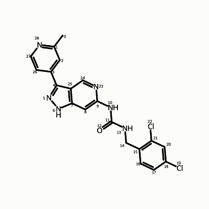 Cc1cc(-c2n[nH]c3cc(NC(=O)NCc4ccc(Cl)cc4Cl)ncc23)ccn1